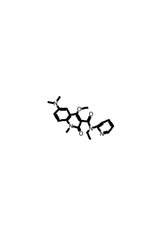 CCN(C(=O)c1c(OC)c2cc(N(C)C)ccc2n(C)c1=O)c1ccccn1